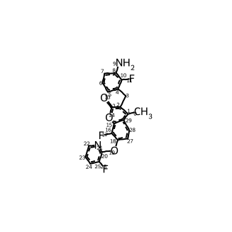 Cc1c(Cc2cccc(N)c2F)c(=O)oc2c(F)c(Oc3ncccc3F)ccc12